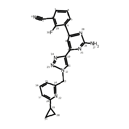 N#Cc1cccc(-c2cc(-c3cn(Cc4cccc(C5CC5)n4)nn3)nc(N)n2)c1F